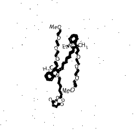 CC[N+]1=C(/C=C/C=C/C=C/C=C2/N(CCCCCC(=O)ON3C(=O)CCC3=O)c3ccccc3C2(C)CCOCCOCCOCCOC)C(C)(CCOCCOCCOCCOC)c2ccccc21